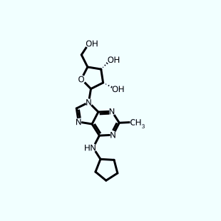 Cc1nc(NC2CCCC2)c2ncn(C3OC(CO)[C@H](O)[C@@H]3O)c2n1